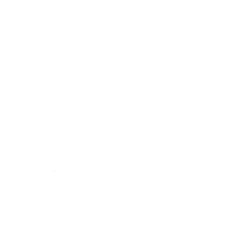 c1ccc(-c2ccccc2-c2ccc(-c3cccs3)cc2)cc1